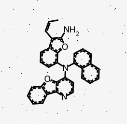 C/C=C\c1c(N)oc2c(N(c3cccc4ccccc34)c3ccnc4c3oc3ccccc34)cccc12